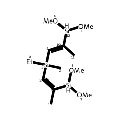 CC[Si](C)(C=C(C)[SiH](OC)OC)C=C(C)[SiH](OC)OC